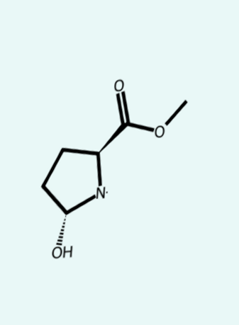 COC(=O)[C@@H]1CC[C@@H](O)[N]1